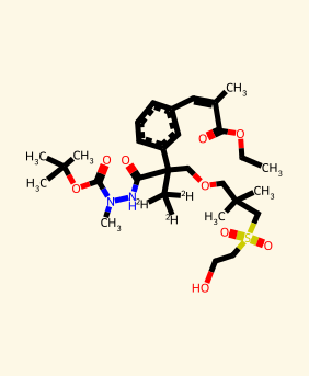 [2H]C([2H])([2H])C(COCC(C)(C)CS(=O)(=O)CCO)(C(=O)NN(C)C(=O)OC(C)(C)C)c1cccc(C=C(C)C(=O)OCC)c1